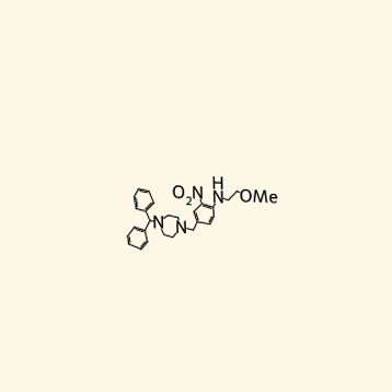 COCCNc1ccc(CN2CCN(C(c3ccccc3)c3ccccc3)CC2)cc1[N+](=O)[O-]